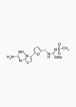 CSC(=NS(C)(=O)=O)NCc1ccc(-c2csc(N=C(N)N)n2)o1